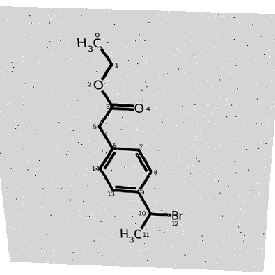 CCOC(=O)Cc1ccc(C(C)Br)cc1